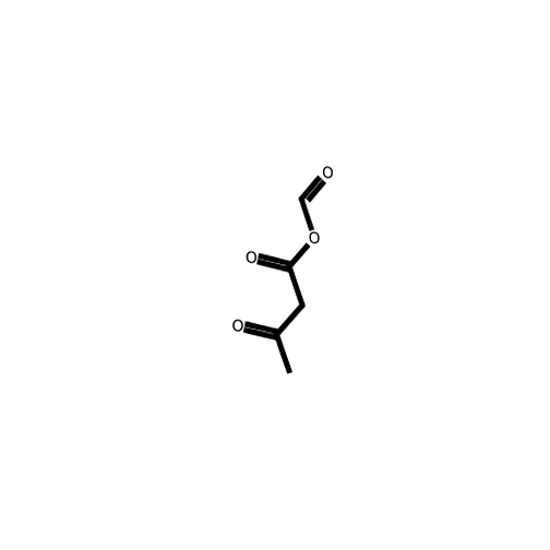 CC(=O)CC(=O)OC=O